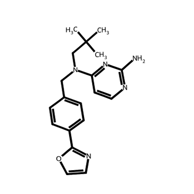 CC(C)(C)CN(Cc1ccc(-c2ncco2)cc1)c1ccnc(N)n1